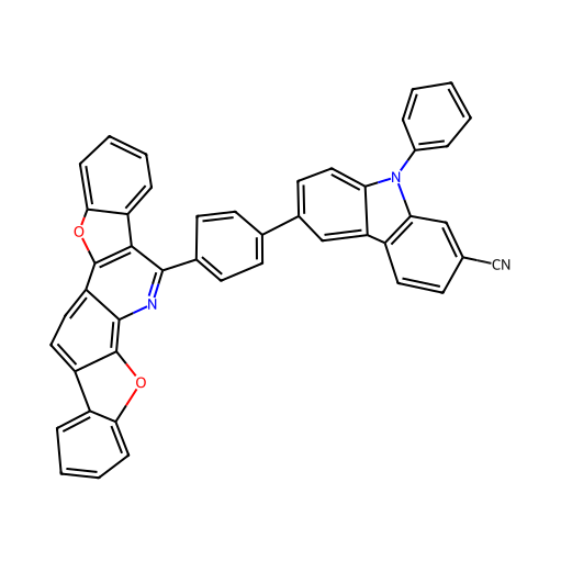 N#Cc1ccc2c3cc(-c4ccc(-c5nc6c(ccc7c8ccccc8oc76)c6oc7ccccc7c56)cc4)ccc3n(-c3ccccc3)c2c1